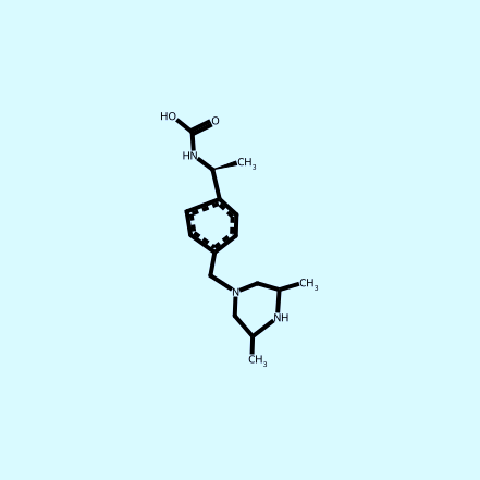 CC1CN(Cc2ccc([C@H](C)NC(=O)O)cc2)CC(C)N1